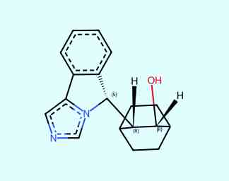 O[C@@H]1C2CCC(CC2)[C@@H]1[C@H]1c2ccccc2-c2cncn21